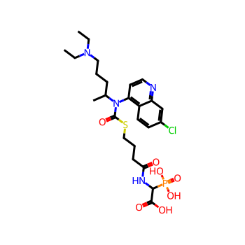 CCN(CC)CCCC(C)N(C(=O)SCCCC(=O)NC(C(=O)O)P(=O)(O)O)c1ccnc2cc(Cl)ccc12